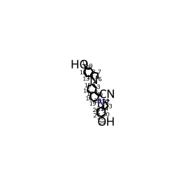 N#CC1=C2C=C(N3CCc4cc(O)ccc43)CCC2CC/C1=[N+]1/CCC2=C1C=CC(O)C2